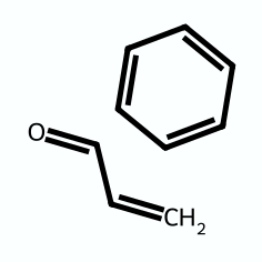 C=CC=O.c1ccccc1